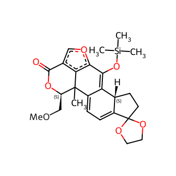 COC[C@H]1OC(=O)c2coc3c2C1(C)C1=CC=C2[C@@H](CCC24OCCO4)C1=C3O[Si](C)(C)C